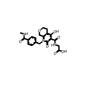 CNC(=O)c1ccc(Cn2c3c(c(O)c(C(=O)NCC(=O)O)c2=O)CCOC3)cc1